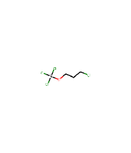 ClCCCO[Si](Cl)(Cl)Cl